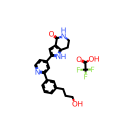 O=C(O)C(F)(F)F.O=C1NCCc2[nH]c(-c3ccnc(-c4cccc(CCCO)c4)c3)cc21